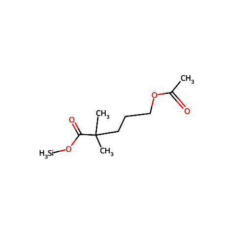 CC(=O)OCCCC(C)(C)C(=O)O[SiH3]